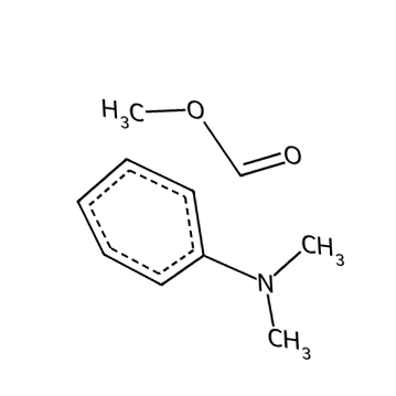 CN(C)c1ccccc1.COC=O